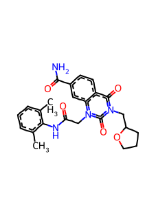 Cc1cccc(C)c1NC(=O)Cn1c(=O)n(CC2CCCO2)c(=O)c2ccc(C(N)=O)cc21